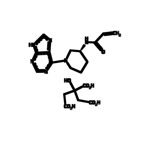 C=CC(=O)N[C@@H]1CCCN(c2ncnc3[nH]cnc23)C1.O=C(O)CC(O)(CC(=O)O)C(=O)O